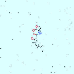 CCC(C)(C)CC(C)(C)C(=O)CC(=O)N[C@H]1CCOC1=O